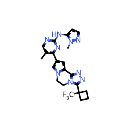 Cc1cnc(Nc2ccnn2C)nc1-c1cc2n(c1)CCn1c-2nnc1C1(C(F)(F)F)CCC1